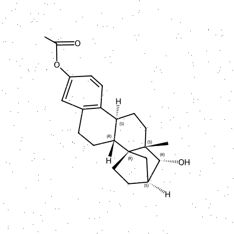 CC(=O)Oc1ccc2c(c1)CC[C@@H]1[C@@H]2CC[C@]2(C)[C@H](O)[C@H]3CC[C@@]12C3